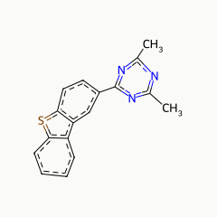 Cc1nc(C)nc(-c2ccc3sc4ccccc4c3c2)n1